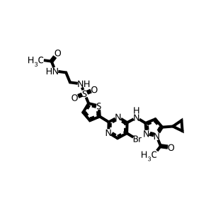 CC(=O)NCCNS(=O)(=O)c1ccc(-c2ncc(Br)c(Nc3cc(C4CC4)n(C(C)=O)n3)n2)s1